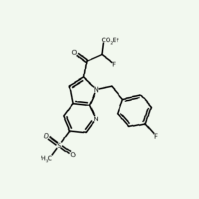 CCOC(=O)C(F)C(=O)c1cc2cc(S(C)(=O)=O)cnc2n1Cc1ccc(F)cc1